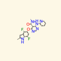 CNC(=O)c1c(Nc2ccccn2)ncnc1Oc1cc(F)c2[nH]c(C)cc2c1F